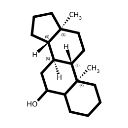 C[C@@]12CCC[C@H]1[C@@H]1CC(O)C3CCCC[C@]3(C)[C@H]1CC2